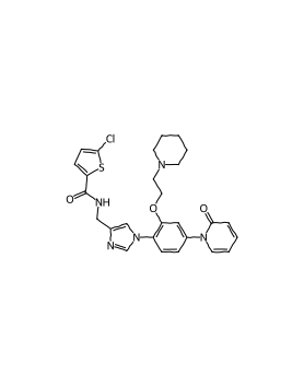 O=C(NCc1cn(-c2ccc(-n3ccccc3=O)cc2OCCN2CCCCC2)cn1)c1ccc(Cl)s1